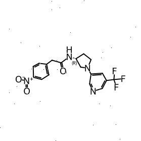 O=C(Cc1ccc([N+](=O)[O-])cc1)N[C@@H]1CCN(c2cncc(C(F)(F)F)c2)C1